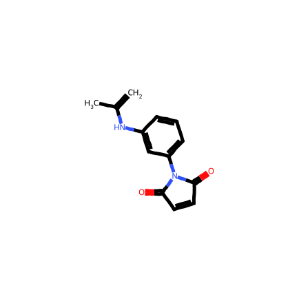 C=C(C)Nc1cccc(N2C(=O)C=CC2=O)c1